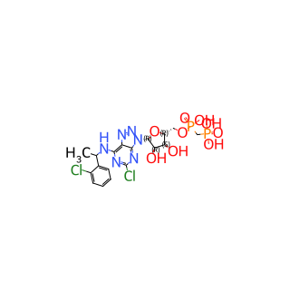 CC(Nc1nc(Cl)nc2c1nnn2[C@@H]1O[C@H](COP(=O)(O)CP(=O)(O)O)[C@@H](O)[C@H]1O)c1ccccc1Cl